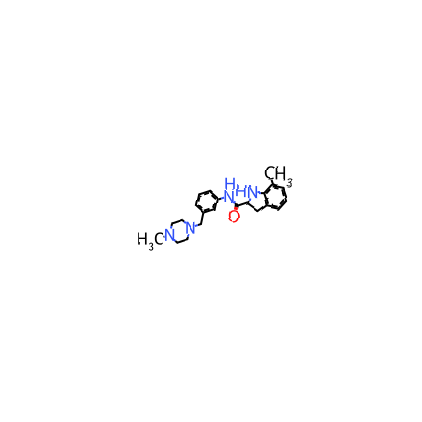 Cc1cccc2c1NC(C(=O)Nc1cccc(CN3CCN(C)CC3)c1)C2